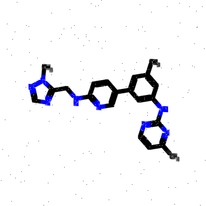 Cc1cc(Nc2nccc(C(F)(F)F)n2)cc(-c2ccc(NCc3ncnn3C)nc2)c1